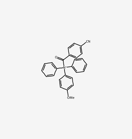 COc1ccc([N+](C(=O)c2ccc(C#N)cc2)(c2ccccc2)c2ccccc2)cc1